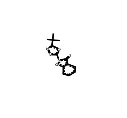 CC(C)(C)c1nnc(-n2[se]c3ccccc3c2=S)s1